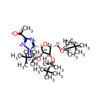 CC(=O)c1n[nH]c([C@@H]2O[C@H](CO[Si](C)(C)C(C)(C)C)[C@@H](O[Si](C)(C)C(C)(C)C)[C@H]2O[Si](C)(C)C(C)(C)C)n1